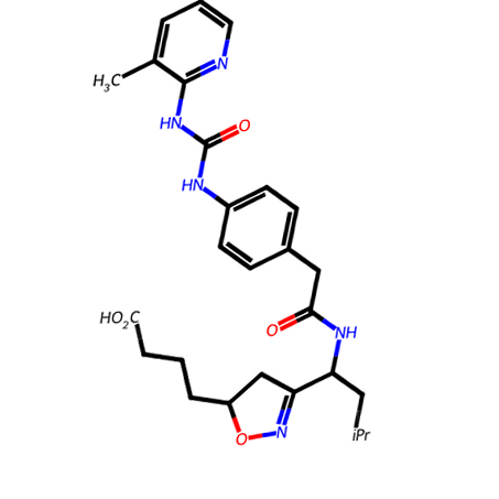 Cc1cccnc1NC(=O)Nc1ccc(CC(=O)NC(CC(C)C)C2=NOC(CCCC(=O)O)C2)cc1